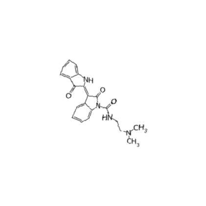 CN(C)CCNC(=O)N1C(=O)/C(=C2\Nc3ccccc3C2=O)c2ccccc21